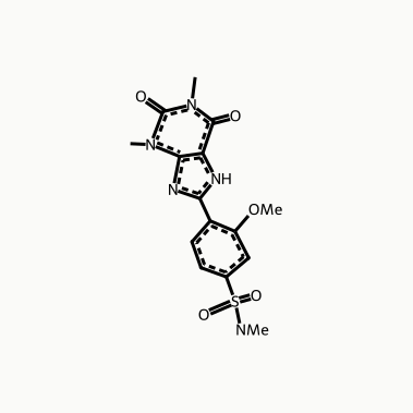 CNS(=O)(=O)c1ccc(-c2nc3c([nH]2)c(=O)n(C)c(=O)n3C)c(OC)c1